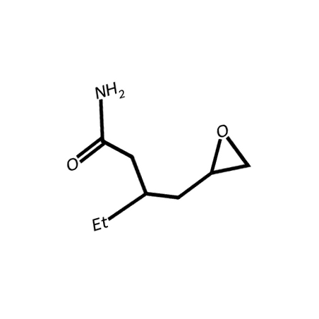 CCC(CC(N)=O)CC1CO1